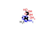 CN1N=C(N)c2cn([C@@H]3O[C@H](CO)[C@@H](O)[C@H]3O)c3ncnc1c23.O